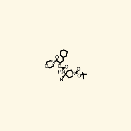 CC(C)(C)OC(=O)N1CCC(C#N)(NC(=O)OC(CC2CCCCC2)C(=O)N2CCOCC2)CC1